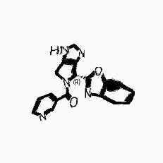 O=C(c1cccnc1)N1Cc2[nH]cnc2[C@@H]1c1nc2ccccc2o1